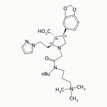 CCCCN(CCC[N+](C)(C)C)C(=O)CN1C[C@H](c2ccc3c(c2)OCO3)[C@@H](C(=O)O)[C@@H]1CCn1cccn1